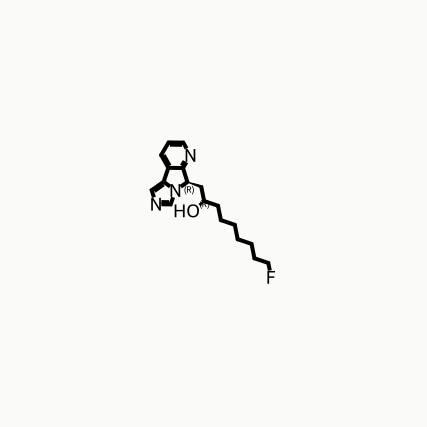 O[C@H](CCCCCCCF)C[C@@H]1c2ncccc2-c2cncn21